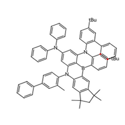 Cc1cc(-c2ccccc2)ccc1N1c2cc3c(cc2B2c4ccc(C(C)(C)C)cc4N(c4ccc(C(C)(C)C)cc4-c4ccccc4)c4cc(N(c5ccccc5)c5ccccc5)cc1c42)C(C)(C)CC3(C)C